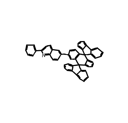 c1ccc(-c2ccc3cc(-c4ccc5c(c4)C4(c6ccccc6-c6ccccc64)c4ccccc4C54c5ccccc5-c5ccccc54)ccc3n2)cc1